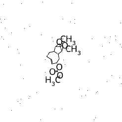 COC(=O)OC1/C=C/CCC2C(C1)C1CCC2C1(OC)OC